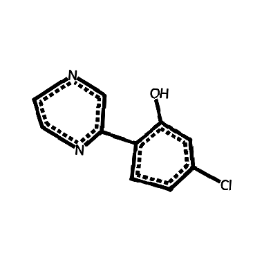 Oc1cc(Cl)ccc1-c1cnccn1